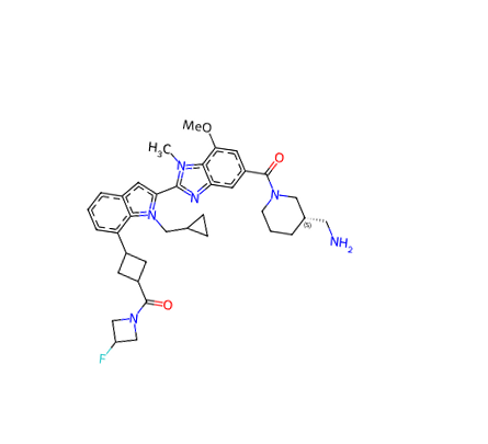 COc1cc(C(=O)N2CCC[C@@H](CN)C2)cc2nc(-c3cc4cccc(C5CC(C(=O)N6CC(F)C6)C5)c4n3CC3CC3)n(C)c12